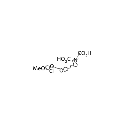 COc1ccc(OCCCCOc2ccc(/C=C/c3cccc4c3c(CC(=O)O)cn4CCCC(=O)O)cc2)c(Cl)c1